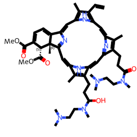 C=Cc1c(C)c2cc3nc(cc4[nH]c(cc5nc(cc1[nH]2)C(C)=C5CCC(=O)N(C)CCN(C)C)c(CCC(O)N(C)CCN(C)C)c4C)[C@@]1(C)C3=CC=C(C(=O)OC)[C@H]1C(=O)OC